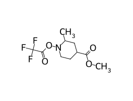 COC(=O)C1CCN(OC(=O)C(F)(F)F)C(C)C1